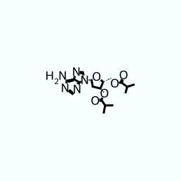 CC(C)C(=O)OC[C@H]1O[C@@H](n2cnc3c(N)ncnc32)C[C@H]1OC(=O)C(C)C